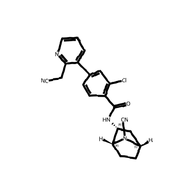 N#CCc1ncccc1-c1ccc(C(=O)N[C@@H]2C[C@@H]3CC[C@H]2N3C#N)c(Cl)c1